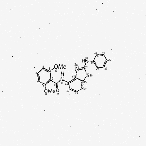 COc1cccc(OC)c1C(=O)Nc1cccc2sc(Nc3ccccc3)nc12